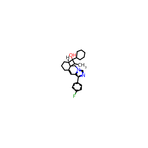 CC1[C@@](O)(C2CCCCC2)[C@H]2CCCC3=Cc4c(-c5ccc(F)cc5)ncn4C[C@]312